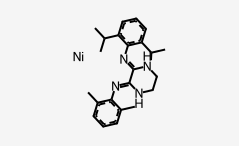 Cc1cccc(C)c1N=C1NCCNC1=Nc1c(C(C)C)cccc1C(C)C.[Ni]